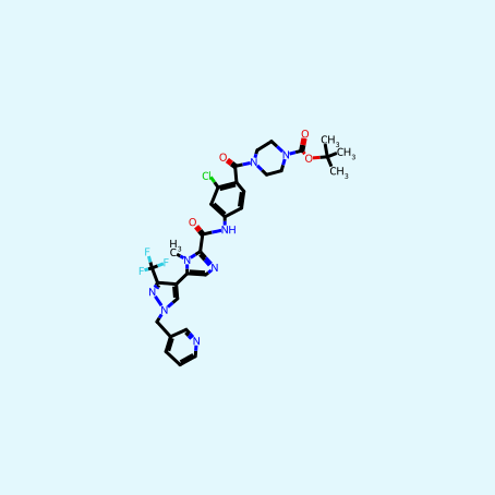 Cn1c(-c2cn(Cc3cccnc3)nc2C(F)(F)F)cnc1C(=O)Nc1ccc(C(=O)N2CCN(C(=O)OC(C)(C)C)CC2)c(Cl)c1